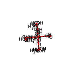 CC(=O)N[C@@H]1[C@@H](O)[C@@H](O)[C@@H](CO)O[C@@H]1CCCCCC(=O)NCCCNC(=O)CCOCC(COCCC(=O)NCCCNC(=O)CCCCC[C@H]1O[C@H](CO)[C@H](O)[C@H](O)[C@H]1NC(C)=O)(COCCC(=O)NCCCNC(=O)CCCCC[C@H]1O[C@H](CO)[C@H](O)[C@H](O)[C@H]1NC(C)=O)NC(=O)CCCCCCCCCCC(=O)NCCN1C(=O)C=CC1=O